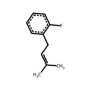 CC(C)=CCc1ccccc1F